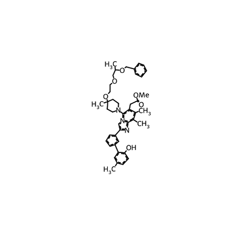 COC(=O)Cc1c(C)c(C)c2nc(-c3cccc(-c4cc(C)ccc4O)c3)cn2c1N1CCC(C)(OCCOCC(C)OCc2ccccc2)CC1